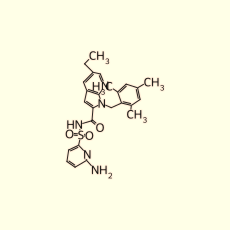 CCc1cnc2c(c1)cc(C(=O)NS(=O)(=O)c1cccc(N)n1)n2Cc1c(C)cc(C)cc1C